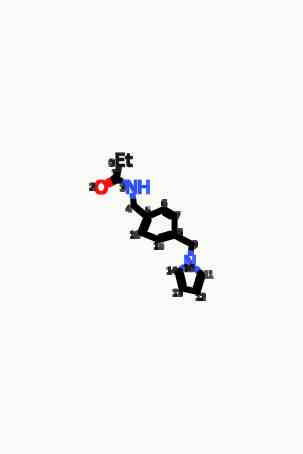 CCC(=O)NCc1ccc(Cn2cccc2)cc1